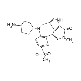 Cn1cc2c3c(c[nH]c3c1=O)CN([C@H]1CC[C@H](N)CC1)c1ccc(S(C)(=O)=O)cc1-2